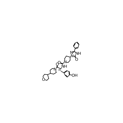 O=C(N[C@H](Cc1ccc(O)cc1)C(=O)N1CCC(C2CCOCC2)CC1)N1CCC(n2nc(-c3ccccc3)[nH]c2=O)CC1